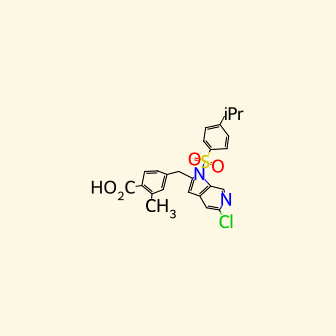 Cc1cc(Cc2cc3cc(Cl)ncc3n2S(=O)(=O)c2ccc(C(C)C)cc2)ccc1C(=O)O